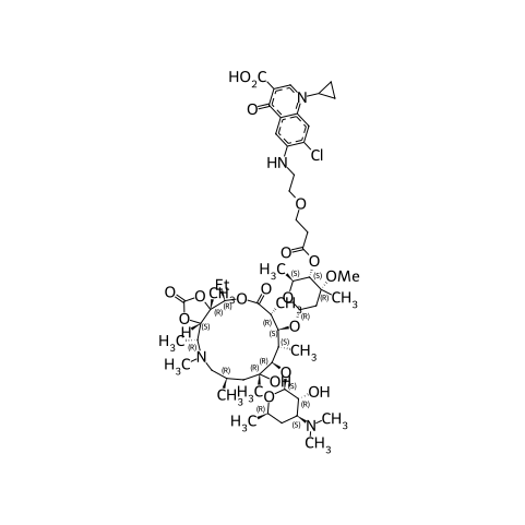 CC[C@H]1OC(=O)[C@H](C)[C@@H](O[C@H]2C[C@@](C)(OC)[C@@H](OC(=O)CCOCCNc3cc4c(=O)c(C(=O)O)cn(C5CC5)c4cc3Cl)[C@H](C)O2)[C@H](C)[C@@H](O[C@@H]2O[C@H](C)C[C@H](N(C)C)[C@H]2O)[C@](C)(O)C[C@@H](C)CN(C)[C@H](C)[C@@H]2OC(=O)O[C@]12C